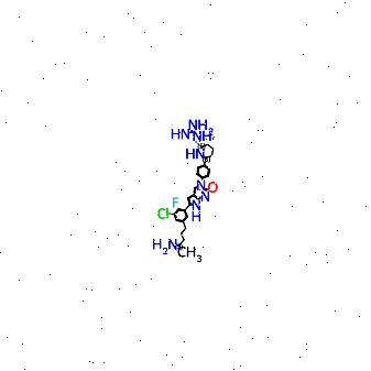 C[C@H](N)CCCc1cc(Cl)c(F)c(-c2cc3cn(-c4ccc([C@@H]5CCC[C@@H](CNC(=N)N)N5)cc4)c(=O)nc3[nH]2)c1